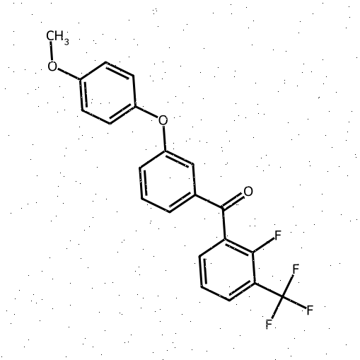 COc1ccc(Oc2cccc(C(=O)c3cccc(C(F)(F)F)c3F)c2)cc1